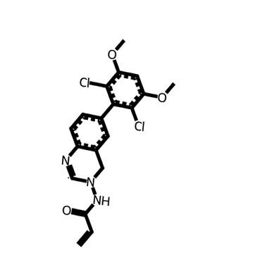 C=CC(=O)NN1[C]=Nc2ccc(-c3c(Cl)c(OC)cc(OC)c3Cl)cc2C1